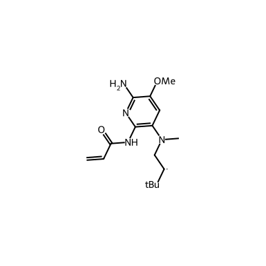 C=CC(=O)Nc1nc(N)c(OC)cc1N(C)C[CH]C(C)(C)C